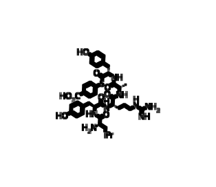 CC(C)C[C@H](N)C(=O)N[C@@H](Cc1ccc(O)cc1)C(=O)N[C@@H](CCCNC(=N)N)C(=O)N[C@@H](C)C(=O)N[C@@H](Cc1ccc(O)cc1)C(=O)Sc1ccc(C(=O)O)cc1